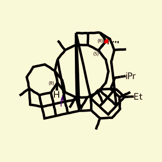 CCC1C2C3(CC(C)C)C(C)CCC(C)C4C56C7CC1(CC(C)CC1C8C9[C@@H](CCCC(C)C%10CC%10(C)C%10(I)CC%11%12CCCC%13(C)CC%14%15CC%16C%17C%18(C%11C(C)C9%11C%18C%174C85%11)C%16%14C(C%13%15)[C@H]%12%10)[C@H]1C)C27C36